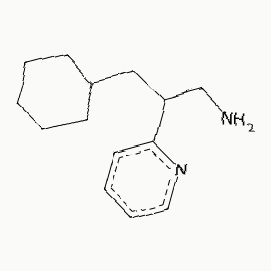 NCC(CC1CCCCC1)c1ccccn1